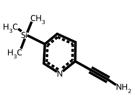 C[Si](C)(C)c1ccc(C#CN)nc1